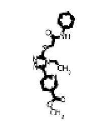 CCn1c(SCC(=O)Nc2ccccc2)nnc1-c1ccc(C(=O)OC)cn1